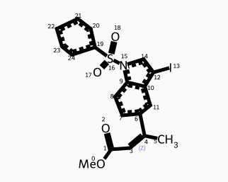 COC(=O)/C=C(/C)c1ccc2c(c1)c(I)cn2S(=O)(=O)c1ccccc1